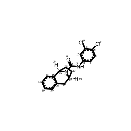 O=C(Nc1ccc(Cl)c(Cl)c1)N1[C@H]2CC[C@@H]1c1ccccc1C2